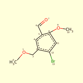 COCc1cc(C=O)c(OC)cc1Br